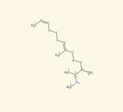 C/C=C\CCC/C=C(\C)CCCC(C)/C(C)=N/C